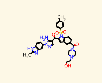 Cc1ccc(S(=O)(=O)n2c(C(=O)c3cnn(-c4ccc5[nH]c(C)nc5c4)c3N)cc3cc(C(=O)N4CCN(CCO)CC4)ccc32)cc1